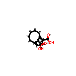 O=C(O)c1ccc2c(C(=O)O)c1CCCCC2